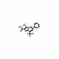 O=C(O)c1nc2c(C(F)(F)F)cc(-c3ccccc3)nn2c1Br